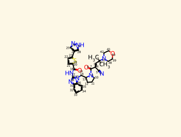 CC(C)(C=C(C#N)C(=O)N1CCCC1Cn1c(NC(=O)c2ccc(-c3cn[nH]c3)s2)nc2ccccc21)N1CCOCC1